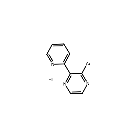 CC(=O)c1nccnc1-c1ccccn1.I